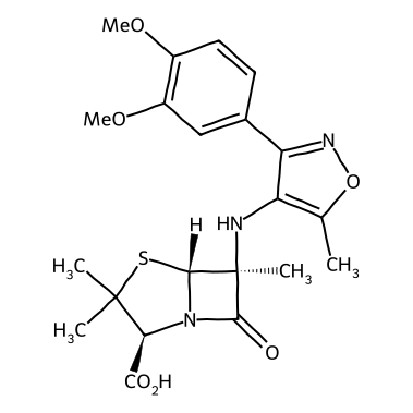 COc1ccc(-c2noc(C)c2N[C@@]2(C)C(=O)N3[C@@H](C(=O)O)C(C)(C)S[C@@H]32)cc1OC